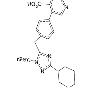 CCCCCn1nc(C2CCCCC2)nc1Cc1ccc(-c2cnccc2C(=O)O)cc1